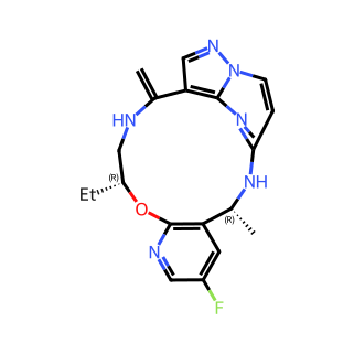 C=C1NC[C@@H](CC)Oc2ncc(F)cc2[C@@H](C)Nc2ccn3ncc1c3n2